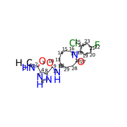 CNC(=O)c1[nH]cnc1C(=O)N[C@@H]1CCCCN(c2ccc(F)cc2Cl)C(=O)CC1